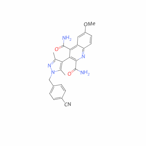 COc1ccc2nc(C(N)=O)c(-c3c(C)nn(Cc4ccc(C#N)cc4)c3C)c(C(N)=O)c2c1